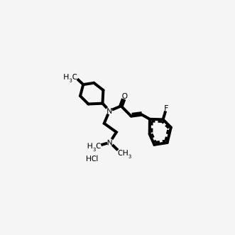 CC1CCC(N(CCN(C)C)C(=O)C=Cc2ccccc2F)CC1.Cl